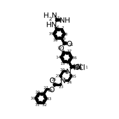 Cl.Cl.N=C(N)Nc1ccc(C(=O)Oc2ccc(C(=O)N3CCN(CC(=O)OCc4ccccc4)CC3)cc2)cc1